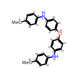 COc1ccc(Nc2ccc(Oc3ccc(Nc4ccc(OC)cc4)cc3)cc2)cc1